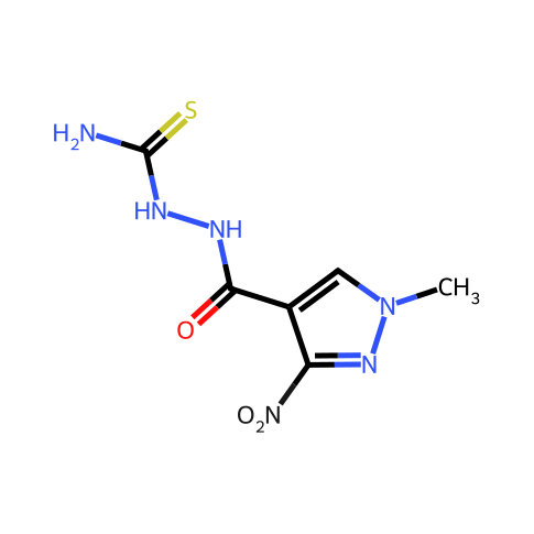 Cn1cc(C(=O)NNC(N)=S)c([N+](=O)[O-])n1